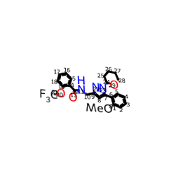 COc1ccccc1-c1cc(CNC(=O)c2ccccc2OC(F)(F)F)nn1C1CCCCO1